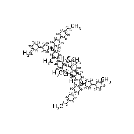 CCCc1ccc(-c2ccc(N(c3ccc(-c4cccc(C)c4)cc3)c3ccc(-c4ccc5c(c4)C4(CC5(C)C)CC(C)(C)c5ccc(-c6ccc(N(c7ccc(-c8ccc(CCC)cc8)cc7)c7ccc(-c8cccc(C)c8)cc7)cc6C)cc54)c(C)c3)cc2)cc1